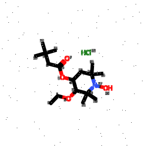 CCOC1C(OC(=O)CC(C)(C)C)CC(C)(C)N(O)C1(C)C.Cl